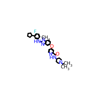 CC(C)N1CCC(NC(=O)c2cc(Oc3ccc4c(c3)nc(Nc3ccc(F)c(C5CCCC5)c3)n4C)ccn2)CC1